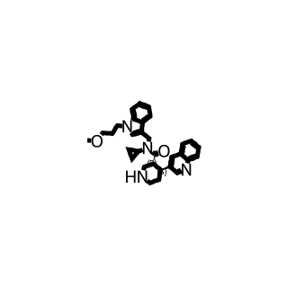 COCCCn1cc(CN(C(=O)[C@H]2CNCC[C@@H]2c2cnc3ccccc3c2)C2CC2)c2ccccc21